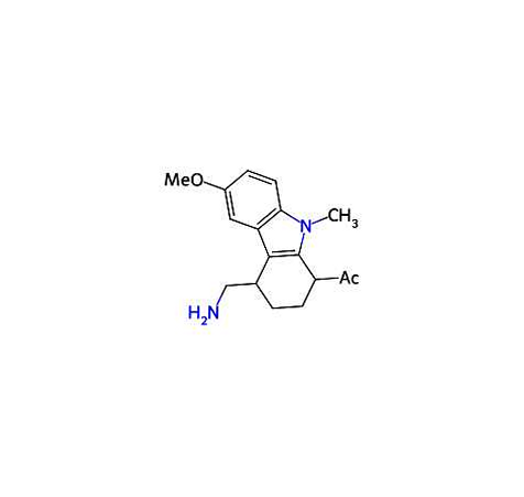 COc1ccc2c(c1)c1c(n2C)C(C(C)=O)CCC1CN